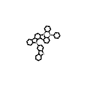 c1ccc(N2c3ccccc3-n3c4ccc5c6ccccc6n(-c6ccc7sc8ccccc8c7c6)c5c4c4cccc2c43)cc1